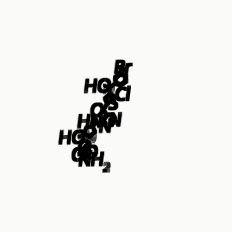 NS(=O)(=O)OC[C@H]1CC(Nc2ncncc2C(=O)c2cc([C@@H](O)c3cccc(Br)c3)c(Cl)s2)C[C@@H]1O